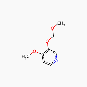 COCOc1cnccc1OC